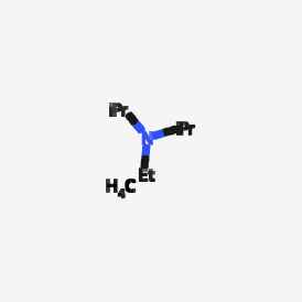 C.CCN(C(C)C)C(C)C